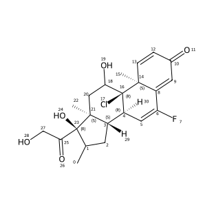 CC1C[C@H]2[C@@H]3C=C(F)C4=CC(=O)C=C[C@]4(C)[C@@]3(Cl)C(O)C[C@]2(C)[C@@]1(O)C(=O)CO